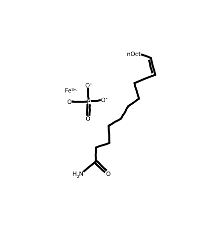 CCCCCCCC/C=C\CCCCCCCC(N)=O.O=P([O-])([O-])[O-].[Fe+3]